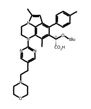 Cc1ccc(-c2c([C@H](OC(C)(C)C)C(=O)O)c(C)c3c4c2cc(C)n4CCN3c2ncc(CCN3CCOCC3)cn2)cc1